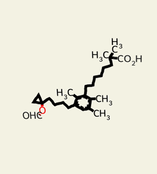 Cc1cc(CCCCC2(OC=O)CC2)c(C)c(CCCCCCC(C)(C)C(=O)O)c1C